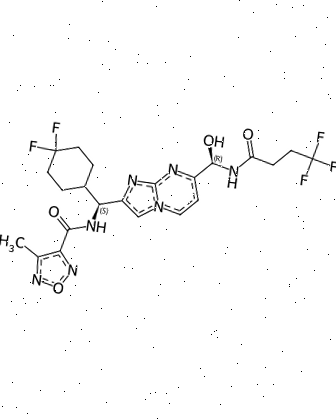 Cc1nonc1C(=O)N[C@H](c1cn2ccc([C@@H](O)NC(=O)CCC(F)(F)F)nc2n1)C1CCC(F)(F)CC1